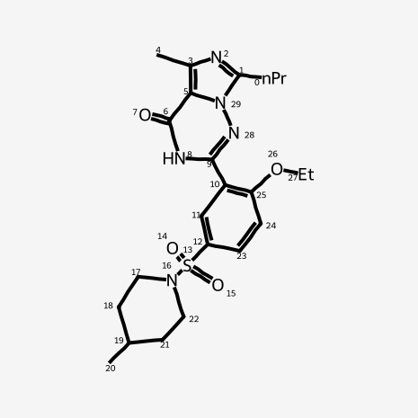 CCCc1nc(C)c2c(=O)[nH]c(-c3cc(S(=O)(=O)N4CCC(C)CC4)ccc3OCC)nn12